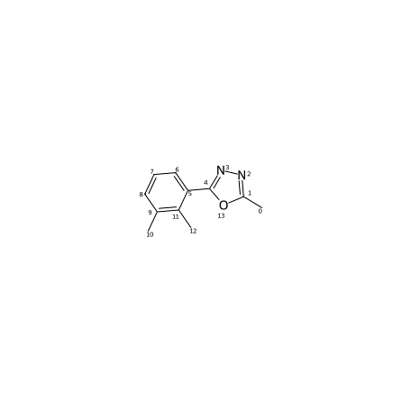 Cc1nnc(-c2cccc(C)c2C)o1